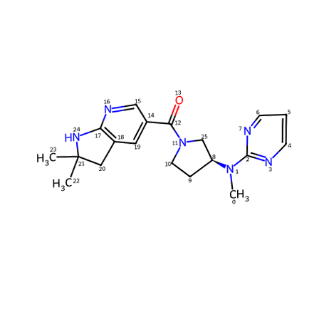 CN(c1ncccn1)[C@H]1CCN(C(=O)c2cnc3c(c2)CC(C)(C)N3)C1